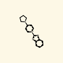 c1ccc2sc(-[n+]3ccc(N4CCCC4)cc3)nc2c1